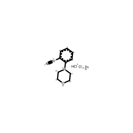 Cl.N#[N+]c1ccccc1N1CCOCC1.[Cl-].[Zn]